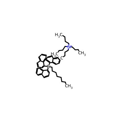 CCCCCCCC[B-](c1cccc2ccccc12)(c1cccc2ccccc12)c1cccc2ccccc12.CCCC[N+](CCCC)(CCCC)CCCC